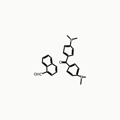 CN(C)c1ccc(C(=O)c2ccc(N(C)C)cc2)cc1.O=Cc1cccc2ccccc12